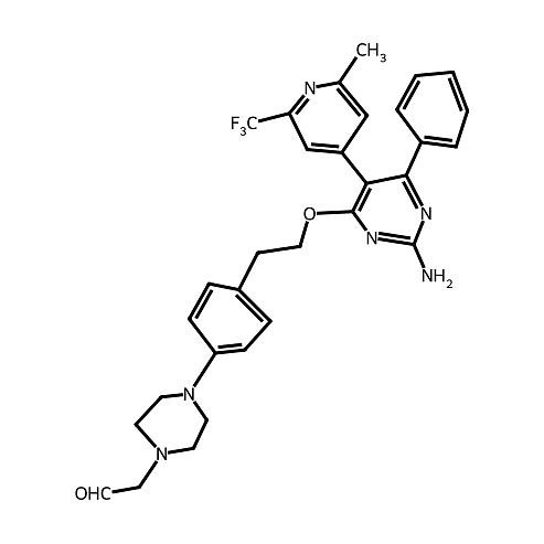 Cc1cc(-c2c(OCCc3ccc(N4CCN(CC=O)CC4)cc3)nc(N)nc2-c2ccccc2)cc(C(F)(F)F)n1